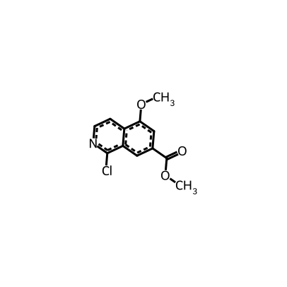 COC(=O)c1cc(OC)c2ccnc(Cl)c2c1